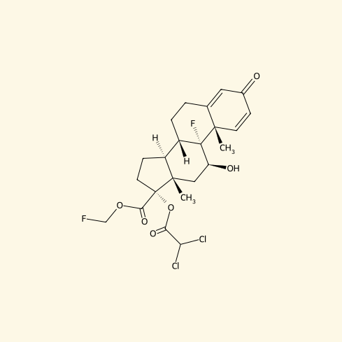 C[C@]12C=CC(=O)C=C1CC[C@H]1[C@@H]3CC[C@](OC(=O)C(Cl)Cl)(C(=O)OCF)[C@@]3(C)C[C@H](O)[C@@]12F